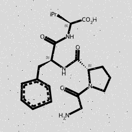 CC(C)[C@H](NC(=O)[C@H](Cc1ccccc1)NC(=O)[C@@H]1CCCN1C(=O)CN)C(=O)O